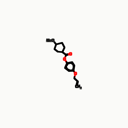 C=CCOc1ccc(OC(=O)C2CCC(OC)CC2)cc1